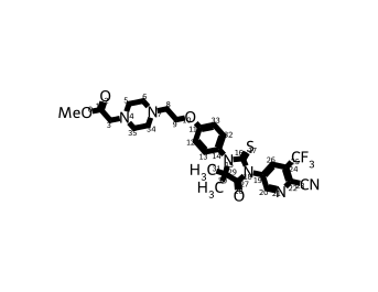 COC(=O)CN1CCN(CCOc2ccc(N3C(=S)N(c4cnc(C#N)c(C(F)(F)F)c4)C(=O)C3(C)C)cc2)CC1